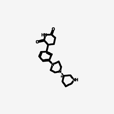 O=C1CCC(c2cccc(N3CCN([C@H]4CCCNC4)CC3)c2)C(=O)N1